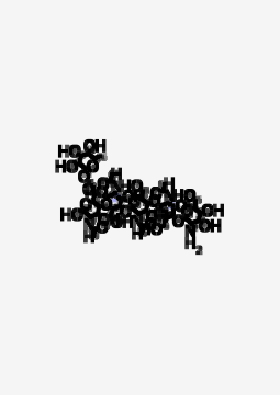 CC(=O)N/C(=C(\O)C(CCO)OC1OC(CO)C(O)C(O)C1N)C(O)OC1C(CO)OC(OC(CCO)/C(O)=C(/NC(C)=O)C(O)OC2C(COCOC3OC(C)C(O)C(O)C3O)OC(O)C(NC(C)=O)C2O)C(NC(C)=O)C1O